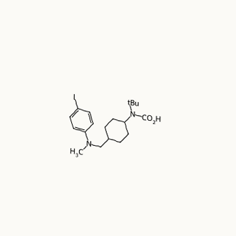 CN(CC1CCC(N(C(=O)O)C(C)(C)C)CC1)c1ccc(I)cc1